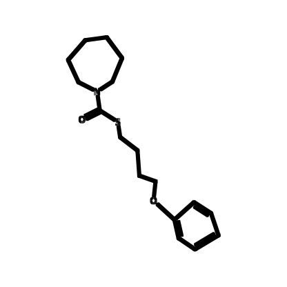 O=C(SCCCCOc1ccccc1)N1CCCCCC1